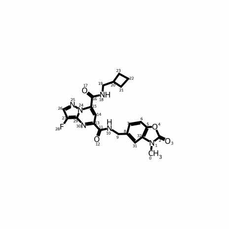 Cn1c(=O)oc2ccc(CNC(=O)c3cc(C(=O)NCC4CCC4)n4ncc(F)c4n3)cc21